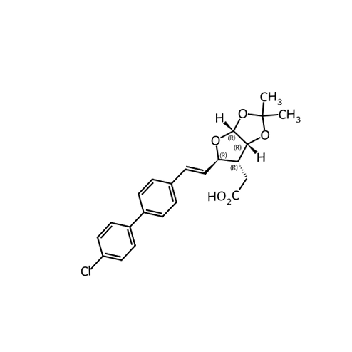 CC1(C)O[C@H]2O[C@H](C=Cc3ccc(-c4ccc(Cl)cc4)cc3)[C@@H](CC(=O)O)[C@H]2O1